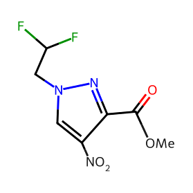 COC(=O)c1nn(CC(F)F)cc1[N+](=O)[O-]